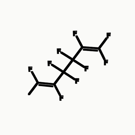 CC(F)=C(F)C(F)(F)C(F)(F)C(F)=C(F)F